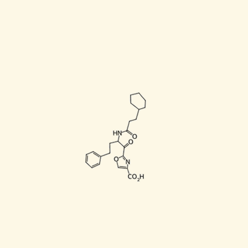 O=C(CCC1CCCCC1)NC(CCc1ccccc1)C(=O)c1nc(C(=O)O)co1